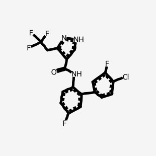 O=C(Nc1ccc(F)cc1-c1ccc(Cl)c(F)c1)c1c[nH]nc1CC(F)(F)F